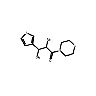 NC(C(=O)N1CCOCC1)C(O)c1ccsc1